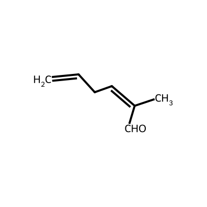 C=CC/C=C(/C)C=O